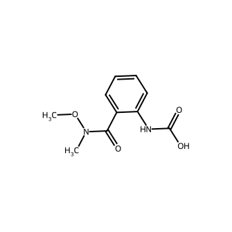 CON(C)C(=O)c1ccccc1NC(=O)O